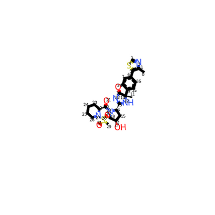 Cc1ncsc1-c1ccc([C@]2(C)NC([C@@H]3C[C@@H](O)CN3C(=O)[C@@H]3CCCCN3S(C)(=O)=O)=NC2=O)cc1